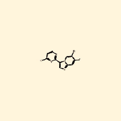 Fc1cc2ncc(-c3nccc(Cl)n3)n2cc1Br